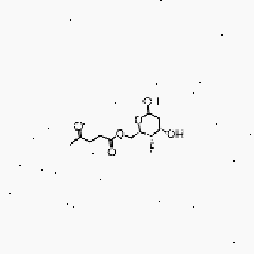 CC(=O)CCC(=O)OC[C@H]1OC(O)C[C@@H](O)[C@@H]1F